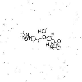 CC(C)c1noc(N2CCC(C(C)CCOc3ccc(CC(N)C(=O)N4CCCC4C#N)c(F)c3)CC2)n1.Cl